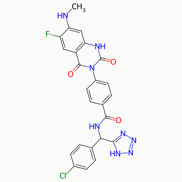 CNc1cc2[nH]c(=O)n(-c3ccc(C(=O)NC(c4ccc(Cl)cc4)c4nnn[nH]4)cc3)c(=O)c2cc1F